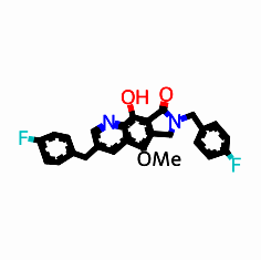 COc1c2c(c(O)c3ncc(Cc4ccc(F)cc4)cc13)C(=O)N(Cc1ccc(F)cc1)C2